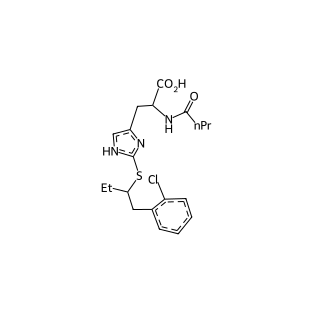 CCCC(=O)NC(Cc1c[nH]c(SC(CC)Cc2ccccc2Cl)n1)C(=O)O